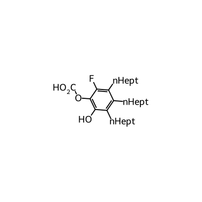 CCCCCCCc1c(O)c(OC(=O)O)c(F)c(CCCCCCC)c1CCCCCCC